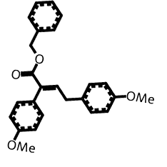 COc1ccc(CC=C(C(=O)OCc2ccccc2)c2ccc(OC)cc2)cc1